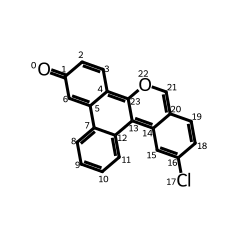 O=c1ccc2c(c1)c1ccccc1c1c3cc(Cl)ccc3coc21